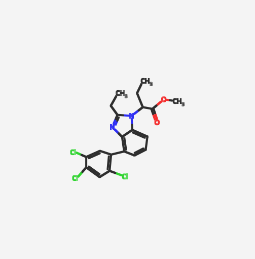 CCc1nc2c(-c3cc(Cl)c(Cl)cc3Cl)cccc2n1C(CC)C(=O)OC